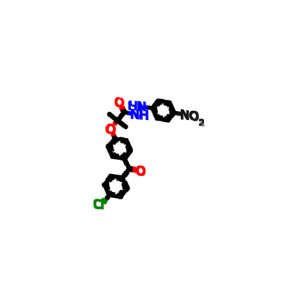 CC(C)(Oc1ccc(C(=O)c2ccc(Cl)cc2)cc1)C(=O)NNc1ccc([N+](=O)[O-])cc1